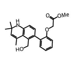 COC(=O)COc1ccccc1-c1ccc2c(c1CO)C(C)=CC(C)(C)N2